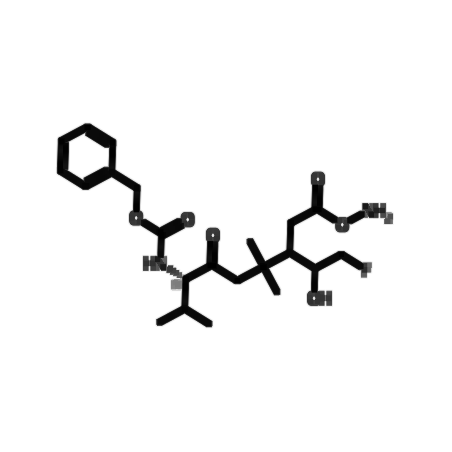 CC(C)[C@H](NC(=O)OCc1ccccc1)C(=O)CC(C)(C)C(CC(=O)ON)C(O)CF